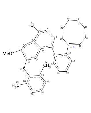 COc1cc2c(O)ccc(-c3ccccc3/C3=C/CCCCCC3)c2cc1Sc1c(C)cccc1C